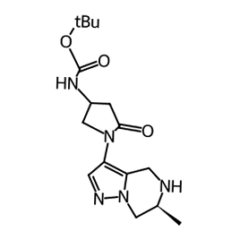 C[C@H]1Cn2ncc(N3CC(NC(=O)OC(C)(C)C)CC3=O)c2CN1